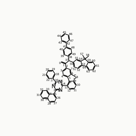 C=C(c1ccc2c(c1)sc1cccc(-c3nc(-c4ccccc4)nc(-c4cccc5ccccc45)n3)c12)C(c1ccc(-c2ccccc2)cc1)c1ccc2c(c1)C(C)(C)c1ccccc1-2